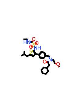 CCNC(=O)S(=O)(=O)Nc1sc(CC(C)C)cc1-c1ccc(CN(CCOC)C(=O)CC2CCCCC2)cc1